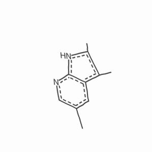 Cc1cnc2[nH]c(C)c(C)c2c1